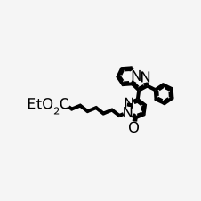 CCOC(=O)CCCCCCCn1nc(-c2c(-c3ccccc3)nn3ccccc23)ccc1=O